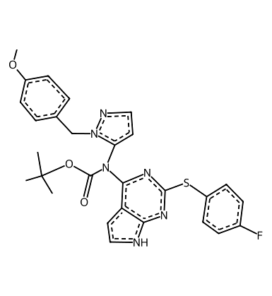 COc1ccc(Cn2nccc2N(C(=O)OC(C)(C)C)c2nc(Sc3ccc(F)cc3)nc3[nH]ccc23)cc1